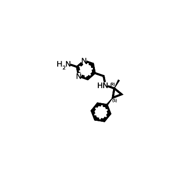 C[C@@]1(NCc2cnc(N)nc2)C[C@H]1c1ccccc1